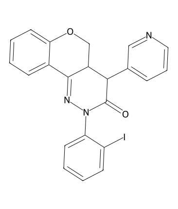 O=C1C(c2cccnc2)C2COc3ccccc3C2=NN1c1ccccc1I